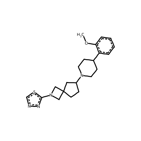 COc1ccccc1C1CCN(C2CCC3(C2)CN(c2nncs2)C3)CC1